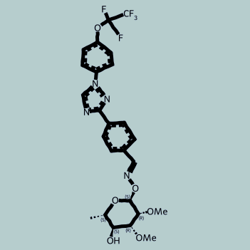 CO[C@@H]1[C@@H](O)[C@H](C)O[C@@H](ON=Cc2ccc(-c3ncn(-c4ccc(OC(F)(F)C(F)(F)F)cc4)n3)cc2)[C@@H]1OC